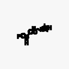 CC1CN(CCc2nc3ccc(-c4c[nH]c5cc(F)ccc45)cc3o2)CC(C)N1